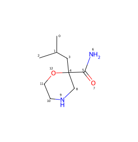 CC(C)CC1(C(N)=O)CNCCO1